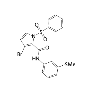 CSc1cccc(NC(=O)c2c(Br)ccn2S(=O)(=O)c2ccccc2)c1